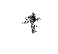 COc1c(OCCCNCCCc2ccccc2)cccc1[C@@H]1O[C@@H](CC(=O)O)C(=O)N(CC(C)(C)C)c2ccc(Cl)cc21.Cl